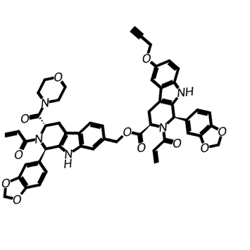 C#CCOc1ccc2[nH]c3c(c2c1)C[C@H](C(=O)OCc1ccc2c4c([nH]c2c1)[C@@H](c1ccc2c(c1)OCO2)N(C(=O)C=C)[C@H](C(=O)N1CCOCC1)C4)N(C(=O)C=C)[C@@H]3c1ccc2c(c1)OCO2